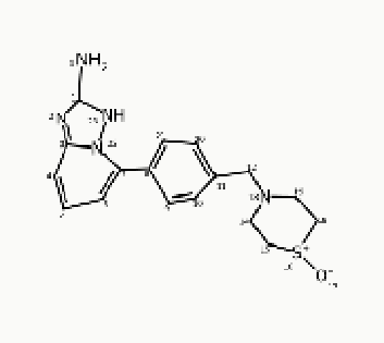 NC1N=C2C=CC=C(c3ccc(CN4CC[S+]([O-])CC4)cc3)N2N1